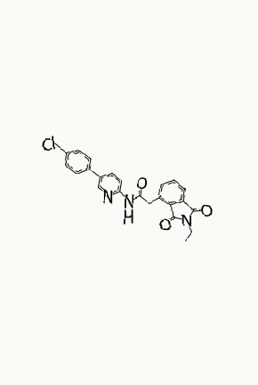 CCN1C(=O)c2cccc(CC(=O)Nc3ccc(-c4ccc(Cl)cc4)cn3)c2C1=O